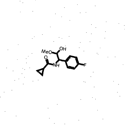 COC(O)C(NC(=O)C1CC1)c1ccc(F)cc1